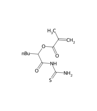 C=C(C)C(=O)OC(CCCC)C(=O)NC(N)=S